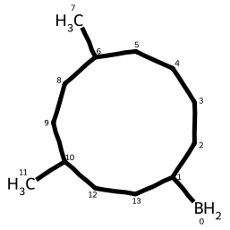 BC1CCCCC(C)CCC(C)CC1